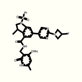 COc1cc(C)[nH]c(=O)c1CNC(=O)c1cc(-c2cnc(N3CC(F)C3)nc2)cc2c1C(C)CN2S(=O)(=O)C(C)C